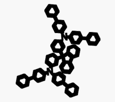 C1=CC2=C(CC1)C(C1=CC(N(c3ccc(-c4ccccc4)cc3)c3ccc(-c4ccccc4)cc3)=CCC1)(c1cccc(N(c3ccc(-c4ccccc4)cc3)c3ccc(-c4ccccc4)cc3)c1)c1ccccc12